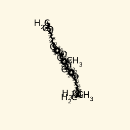 C=CC(=O)OCCCCCCOc1ccc(C(=O)Oc2ccc(OC(=O)c3ccc(OCCCCCC[Si](C)(C)C=C)cc3)c(C)c2)cc1